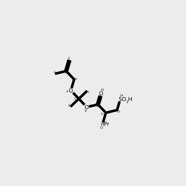 C=C(C)COC(C)(C)OC(=O)C(CCC)CS(=O)(=O)O